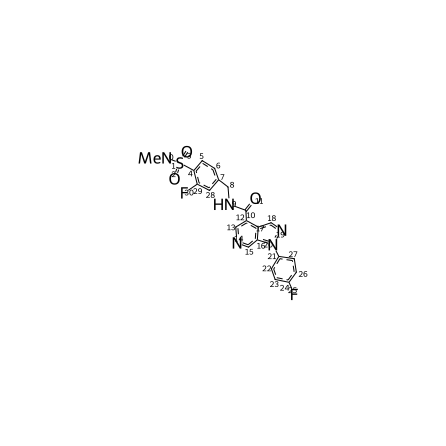 CNS(=O)(=O)c1ccc(CNC(=O)c2cncc3c2cnn3-c2ccc(F)cc2)cc1F